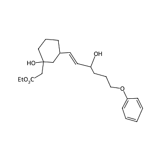 CCOC(=O)CC1(O)CCCC(C=CC(O)CCCOc2ccccc2)C1